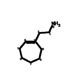 NCCC1=CCCCCC1